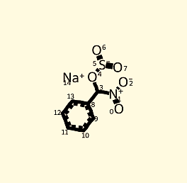 O=[N+]([O-])C(O[S-](=O)=O)c1ccccc1.[Na+]